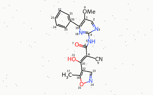 COc1cnc(NC(=O)/C(C#N)=C(\O)c2cnoc2C)nc1-c1ccccc1